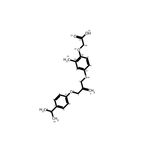 C=C(COc1ccc(C(C)C)cc1)CSc1ccc(OCC(=O)O)c(C)c1